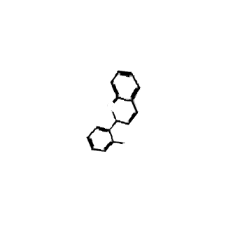 Fc1ccccc1C1C=Cc2ccccc2O1